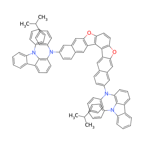 CC(C)c1ccc(N(c2ccc3cc4c(cc3c2)oc2ccc3oc5cc6cc(N(c7ccc(C(C)C)cc7)c7cccc8c9ccccc9n(-c9ccccc9)c78)ccc6cc5c3c24)c2cccc3c4ccccc4n(-c4ccccc4)c23)cc1